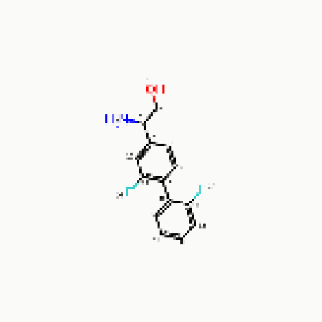 N[C@@H](CO)c1ccc(-c2ccccc2F)c(F)c1